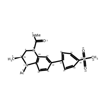 CNC(=O)N1C[C@H](C)N(C(C)=O)c2ccc(-c3ccc(S(C)(=O)=O)cc3)cc21